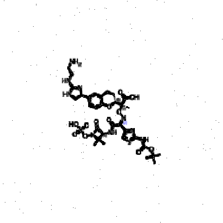 CC(C)(C)OC(=O)Nc1nc(/C(=N/O[C@](C)(C(=O)O)[C@H]2CCc3cc(C4CNC(NCCN)=N4)ccc3O2)C(=O)N[C@@H]2C(=O)N(OS(=O)(=O)O)C2(C)C)cs1